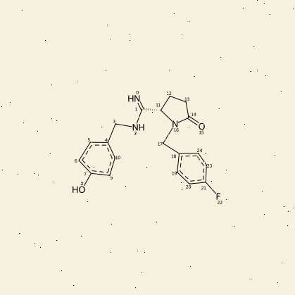 N=C(NCc1ccc(O)cc1)[C@@H]1CCC(=O)N1Cc1ccc(F)cc1